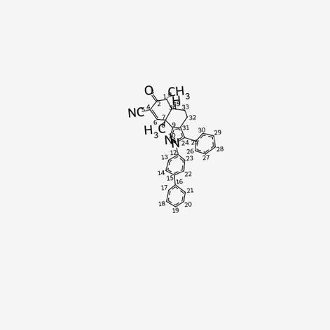 C[C@H]1C(=O)C(C#N)=C[C@@]2(C)c3nn(-c4ccc(-c5ccccc5)cc4)c(-c4ccccc4)c3CC[C@H]12